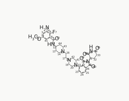 COc1cc(N)c(F)c(C(=O)NC2CCN(CCN3CCN(c4cccc5c4C(=O)N(C4CCC(=O)NC4=O)C5=O)CC3)CC2)c1